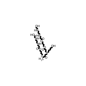 CC(OCCCCOC(=O)CCNCCCNCCO)C(=O)CCN(CCCCCO)CCC(=O)OCCCCOC(=O)CCNCCCNCCO